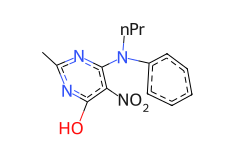 CCCN(c1ccccc1)c1nc(C)nc(O)c1[N+](=O)[O-]